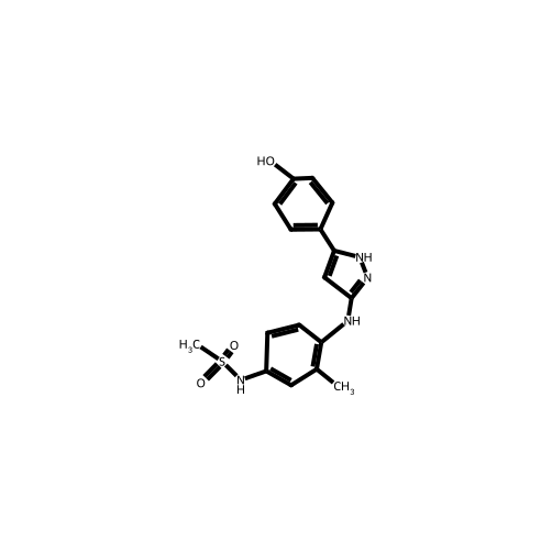 Cc1cc(NS(C)(=O)=O)ccc1Nc1cc(-c2ccc(O)cc2)[nH]n1